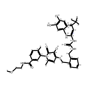 COCCNC(=O)c1ccc(C)c(-n2c(C)cc(OCc3ccccc3CNC(=O)N/C(=C/C(=N)C(C)(C)C)Nc3ccc(Cl)c(O)c3)c(Cl)c2=O)c1